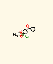 CS(=O)(=O)C1(F)C=CC(C(=O)c2ccccc2)=CC1Cl